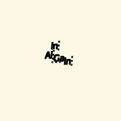 [Al].[Ga].[In].[In]